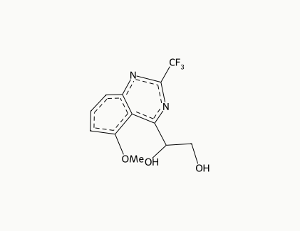 COc1cccc2nc(C(F)(F)F)nc(C(O)CO)c12